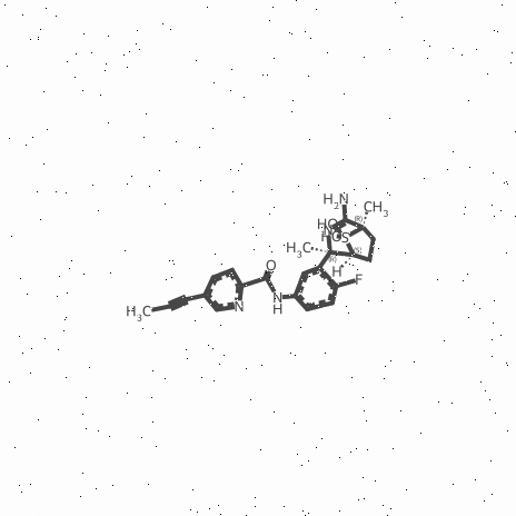 CC#Cc1ccc(C(=O)Nc2ccc(F)c([C@@]3(C)N=C(N)[C@@]4(C)CC[C@@H]3S4(O)O)c2)nc1